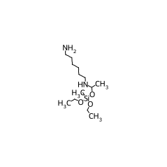 CCO[Si](C)(OCC)OC(C)NCCCCCCN